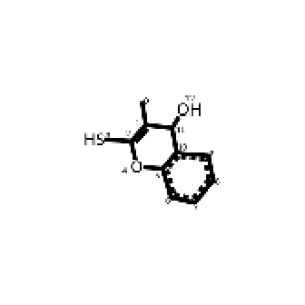 CC1=C(S)Oc2ccccc2C1O